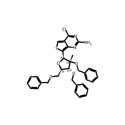 C[C@@]1(OCc2ccccc2)[C@H](OCc2ccccc2)[C@@H](COCc2ccccc2)O[C@H]1c1scc2c(Cl)nc(N)nc12